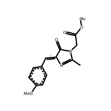 COc1ccc(/C=C2\N=C(C)N(CC(=O)OC(C)(C)C)C2=O)cc1